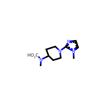 CN(C(=O)O)C1CCN(c2nccn2C)CC1